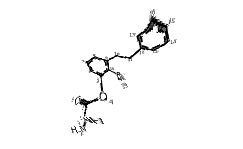 NNC(=O)Oc1cccc(CCc2ccccc2)c1Br